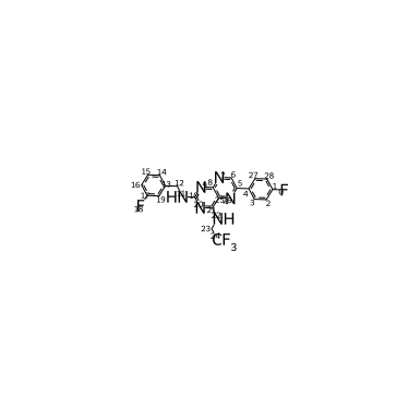 Fc1ccc(-c2cnc3nc(NCc4cccc(F)c4)nc(NCC(F)(F)F)c3n2)cc1